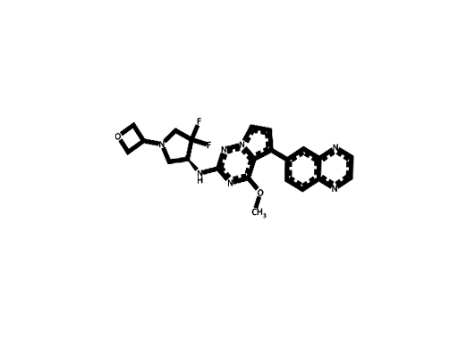 COc1nc(N[C@H]2CN(C3COC3)CC2(F)F)nn2ccc(-c3ccc4nccnc4c3)c12